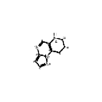 c1cc2ncc3c(n2n1)CCCN3